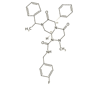 CC(c1ccccc1)N1C[C@H]2N(C(=O)CN(C)N2C(=O)NCc2ccc(F)cc2)[C@@H](c2ccccc2)C1=O